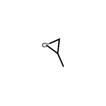 CC1C[Cl+]1